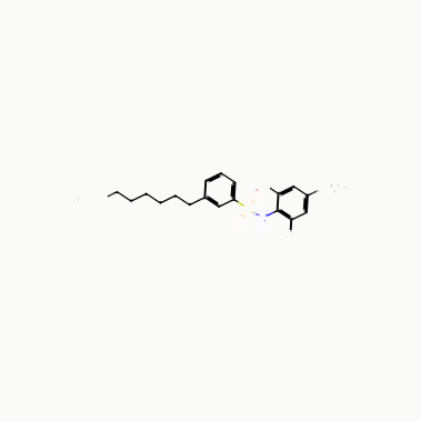 COc1cc(C)c(NS(=O)(=O)c2cccc(CCCCCCC(=O)O)c2)c(C)c1